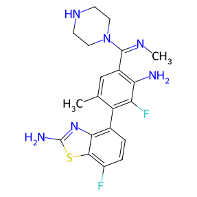 C/N=C(\c1cc(C)c(-c2ccc(F)c3sc(N)nc23)c(F)c1N)N1CCNCC1